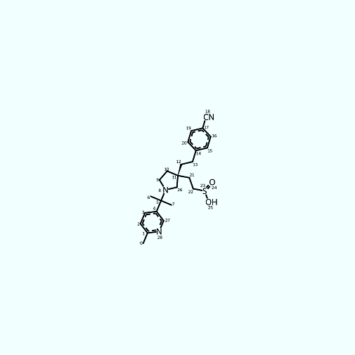 Cc1ccc(C(C)(C)N2CC[C@](CCc3ccc(C#N)cc3)(CCS(=O)O)C2)cn1